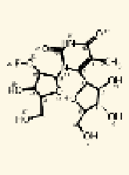 Cc1c([C@@H]2O[C@H](CO)[C@@H](O)[C@@H]2O)n([C@H]2O[C@@H](CO)C(O)C2OF)c(=O)[nH]c1=O